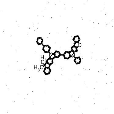 CC1(C)c2ccccc2-c2cc3c4cc(-c5ccc6c(c5)c5cc7c(cc5n6-c5ccccc5)oc5ccccc57)ccc4n(-c4ccc(-c5ccccc5)cc4)c3cc21